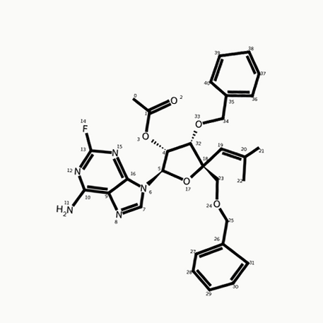 CC(=O)O[C@H]1[C@H](n2cnc3c(N)nc(F)nc32)O[C@](C=C(C)C)(COCc2ccccc2)[C@H]1OCc1ccccc1